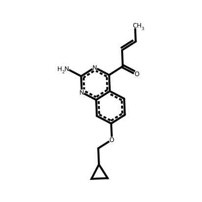 CC=CC(=O)c1nc(N)nc2cc(OCC3CC3)ccc12